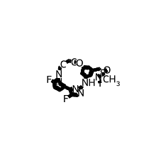 CS(=O)(Cc1cc2cc(c1)OCCCCNc1cc(ccc1F)-c1nc(ncc1F)N2)=NI